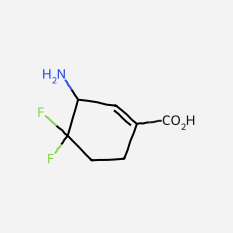 NC1C=C(C(=O)O)CCC1(F)F